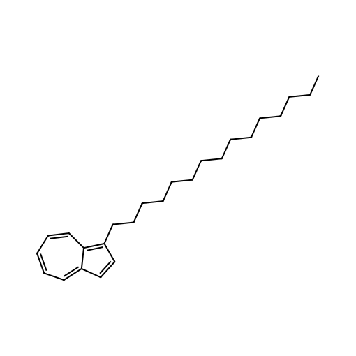 CCCCCCCCCCCCCCCc1ccc2cccccc1-2